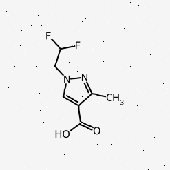 Cc1nn(CC(F)F)cc1C(=O)O